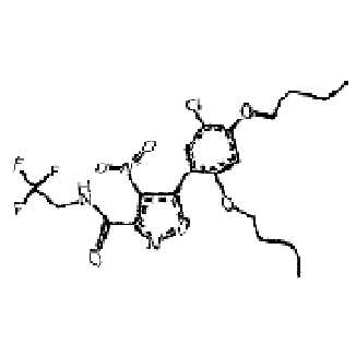 CCCCOc1cc(OCCCC)c(-c2onc(C(=O)NCC(F)(F)F)c2[N+](=O)[O-])cc1Cl